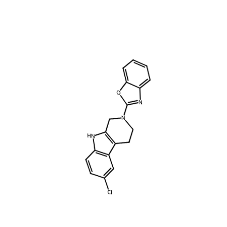 Clc1ccc2[nH]c3c(c2c1)CCN(c1nc2ccccc2o1)C3